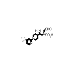 NC(CN(CC=O)C(=O)O)C1CCN(c2cc(C(F)(F)F)ccn2)CC1